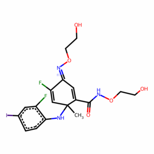 CC1(Nc2ccc(I)cc2F)C=C(F)/C(=N/OCCO)C=C1C(=O)NOCCO